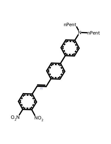 CCCCCN(CCCCC)c1ccc(-c2ccc(/C=C/c3ccc([N+](=O)[O-])c([N+](=O)[O-])c3)cc2)cc1